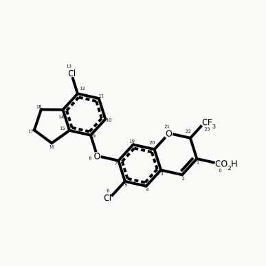 O=C(O)C1=Cc2cc(Cl)c(Oc3ccc(Cl)c4c3CCC4)cc2OC1C(F)(F)F